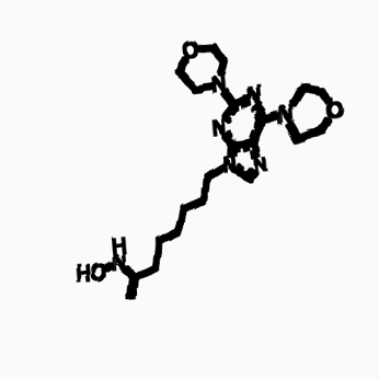 C=C(CCCCCCn1cnc2c(N3CCOCC3)nc(N3CCOCC3)nc21)NO